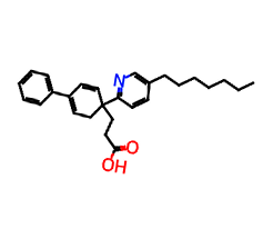 CCCCCCCc1ccc(C2(CCC(=O)O)C=CC(c3ccccc3)=CC2)nc1